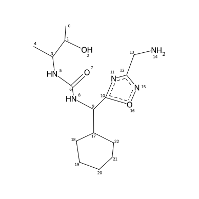 CC(O)C(C)NC(=O)NC(c1nc(CN)no1)C1CCCCC1